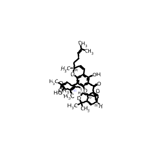 CC(C)=CCC[C@]1(C)C=Cc2c(O)c3c(c(CC=C(C)C)c2O1)O[C@]12C(=C[C@@H]4CC1C(C)(C)O[C@@]2(C/C=C(\C)C(=O)O)C4=O)C3=O